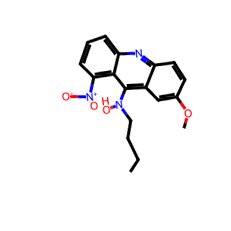 CCCCN(O)c1c2cc(OC)ccc2nc2cccc([N+](=O)[O-])c12